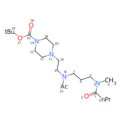 CCCC(=O)N(C)CCCN(CCN1CCN(C(=O)OC(C)(C)C)CC1)C(C)=O